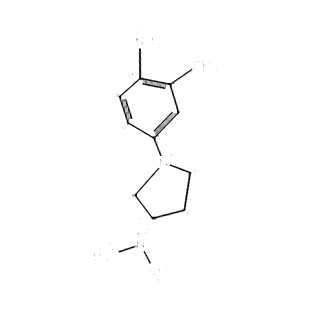 Cc1cc(N2CC[C@H](N(C)C)C2)ccc1N